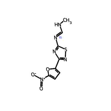 CN/C=N/c1nc(-c2ccc([N+](=O)[O-])o2)ns1